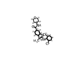 Cn1c(Nc2c(Cl)cccc2Cl)nc2cc(C(=O)NC3CCOCC3)ccc21